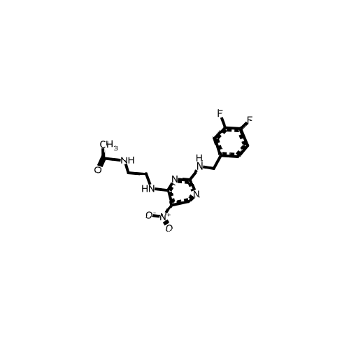 CC(=O)NCCNc1nc(NCc2ccc(F)c(F)c2)ncc1[N+](=O)[O-]